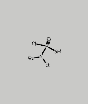 CCN(CC)P(=O)(S)Cl